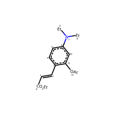 CCOC(=O)C=Cc1ccc(N(CC)CC)cc1OC(C)=O